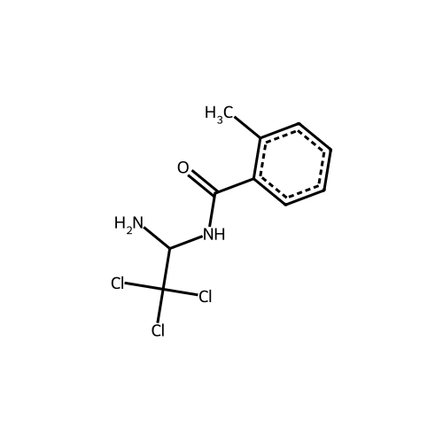 Cc1ccccc1C(=O)NC(N)C(Cl)(Cl)Cl